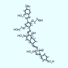 CCCCc1ccc(/N=N/c2cc(OCCO)c(/N=N/c3c(S(=O)(=O)O)cc4cc(/N=N/C5C(=O)N(c6ccc(S(=O)(=O)O)cc6)N=C5C(=O)O)ccc4c3O)cc2OCCO)c(S(=O)(=O)O)c1